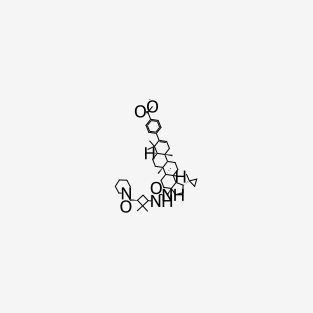 COC(=O)c1ccc(C2=CC[C@]3(C)C4CC[C@@H]5C6[C@H](C7(C)CC7)CC[C@]6(NC(=O)N[C@@H]6C[C@H](C(=O)N7CCCCC7)C6(C)C)CC[C@@]5(C)[C@]4(C)CC[C@H]3C2(C)C)cc1